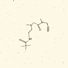 C#CCN(C)C(=O)CN(C)CCNC(=O)C(C)(C)C